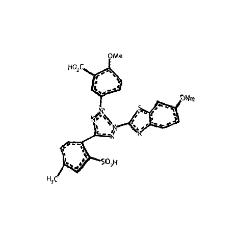 COc1ccc2nc(-n3nc(-c4ccc(C)cc4S(=O)(=O)O)n[n+]3-c3ccc(OC)c(C(=O)O)c3)sc2c1